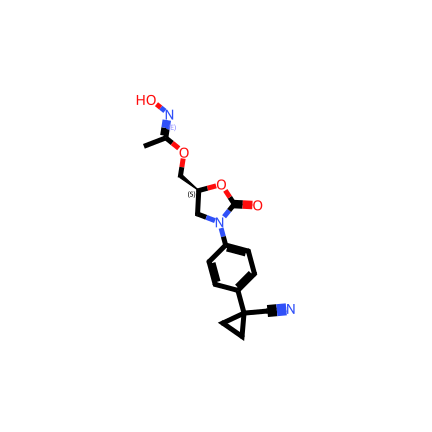 C/C(=N\O)OC[C@@H]1CN(c2ccc(C3(C#N)CC3)cc2)C(=O)O1